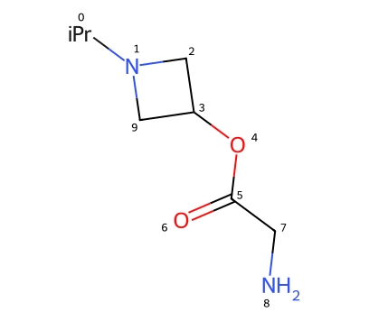 CC(C)N1CC(OC(=O)CN)C1